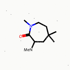 CNC1CC(C)(C)CCN(C)C1=O